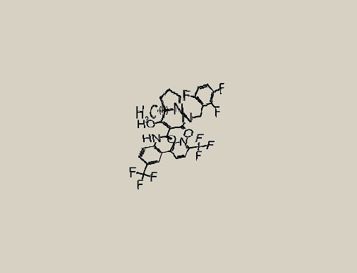 C[C@]12CCCN1N(Cc1c(F)ccc(F)c1F)C(=O)C(C(=O)Nc1ccc(C(F)(F)F)cc1-c1ccc(C(F)(F)F)nc1)=C2O